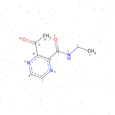 CCNC(=O)c1nccnc1C(C)=O